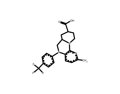 Cc1ccc2c(n1)N1CCC(C(=O)O)CC1CN2c1ccc(C(F)(F)F)cc1